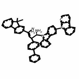 CC1(C)c2ccccc2-c2ccc(/C(N)=C/C(c3ccc(-c4ccccc4)cc3)[C@@H](N)n3c4ccccc4c4cc(-n5c6ccccc6c6ccccc65)ccc43)cc21